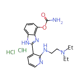 CCN(CC)CCNc1ncccc1-c1nc2c(OC(N)=O)cccc2[nH]1.Cl.Cl